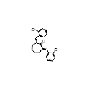 O=C1C(=Cc2ccccc2Cl)CCCCC1=Cc1ccccc1Cl